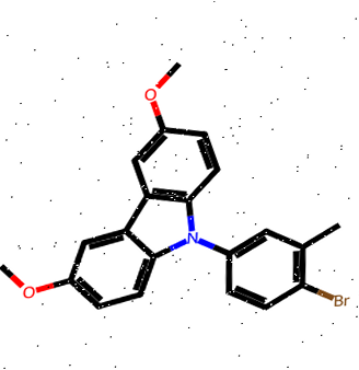 COc1ccc2c(c1)c1cc(OC)ccc1n2-c1ccc(Br)c(C)c1